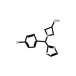 O=CC1CN(C(c2ccc(Cl)cc2)c2nccs2)C1